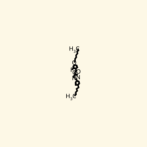 CCCCCCCCOc1ccc(C(=O)Oc2cnc(-c3ccc(CCCCCC)cc3)nc2)c(F)c1